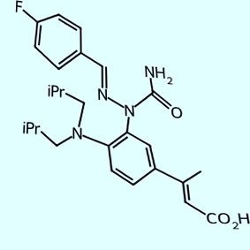 C/C(=C\C(=O)O)c1ccc(N(CC(C)C)CC(C)C)c(N(/N=C/c2ccc(F)cc2)C(N)=O)c1